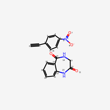 C#Cc1ccc([N+](=O)[O-])cc1.O=C1CNC(=O)c2ccccc2N1